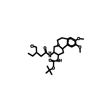 CCC(CCl)CC(=O)NC1CN2CCc3cc(OC)c(OC)cc3C2CC1NC(=O)OC(C)(C)C